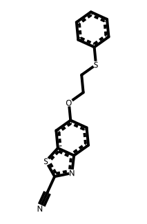 N#Cc1nc2ccc(OCCSc3ccccc3)cc2s1